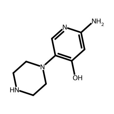 Nc1cc(O)c(N2CCNCC2)cn1